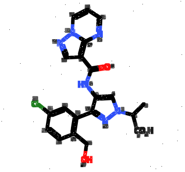 CC(C(=O)O)n1cc(NC(=O)c2cnn3cccnc23)c(-c2cc(Cl)ccc2CO)n1